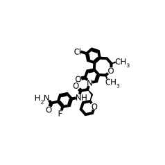 C[C@@H]1Cc2ccc(Cl)cc2-c2cc(=O)n([C@@H](C[C@@H]3CCCCO3)C(=O)Nc3ccc(C(N)=O)c(F)c3)cc2[C@H](C)O1